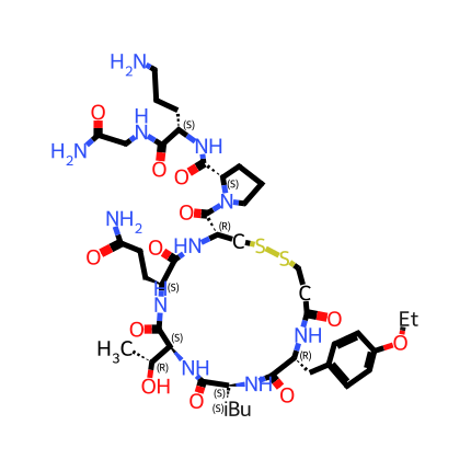 CCOc1ccc(C[C@H]2NC(=O)CCSSC[C@@H](C(=O)N3CCC[C@H]3C(=O)N[C@@H](CCCN)C(=O)NCC(N)=O)NC(=O)[C@H](CCC(N)=O)NC(=O)[C@H]([C@@H](C)O)NC(=O)[C@H]([C@@H](C)CC)NC2=O)cc1